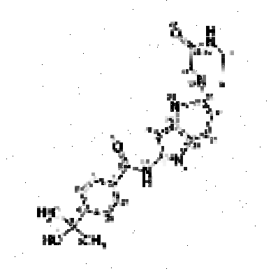 CC(C)(O)c1ccc(C(=O)Nc2nc3ccc(N4CCNC(=O)C4)nc3s2)cc1